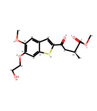 COC(=O)[C@@H](C)CC(=O)c1cc2cc(OC)c(OCCO)cc2s1